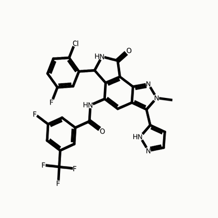 Cn1nc2c3c(c(NC(=O)c4cc(F)cc(C(F)(F)F)c4)cc2c1-c1ccn[nH]1)C(c1cc(F)ccc1Cl)NC3=O